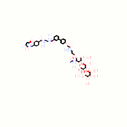 CC(=O)N[C@H]1[C@H](OCCCNC(=O)COc2ccc(-c3cccc(C(=O)NCCNC(=O)C4CCC(CN5C(=O)C=CC5=O)CC4)c3)cc2)O[C@H](CO)[C@@H](O[C@@H]2O[C@H](CO)[C@H](O)[C@H](O[C@H]3O[C@H](CO)[C@H](O)[C@H](O)[C@H]3O)[C@H]2O)[C@@H]1O